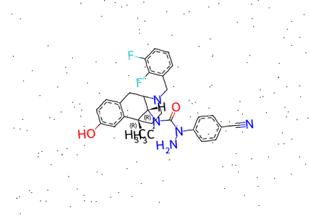 CN(C(=O)N(N)c1ccc(C#N)cc1)[C@H]1C2Cc3ccc(O)cc3[C@@]1(C)CCN2Cc1cccc(F)c1F